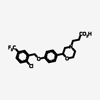 O=C(O)CCN1CCOC(c2ccc(OCc3cc(C(F)(F)F)ccc3Cl)cc2)C1